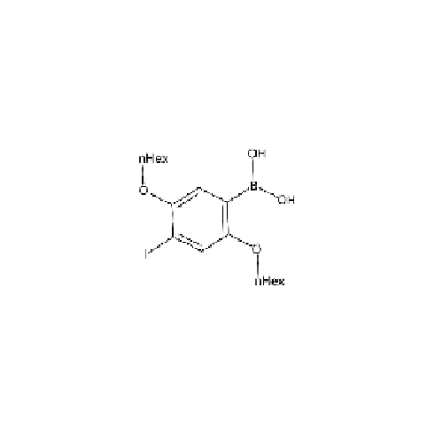 CCCCCCOc1cc(B(O)O)c(OCCCCCC)cc1I